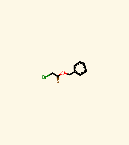 S=C(CBr)OCc1ccccc1